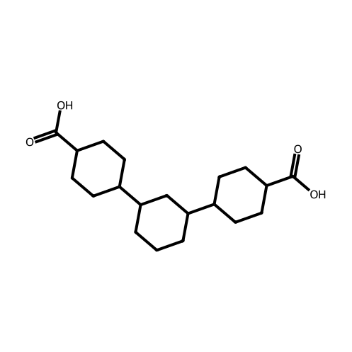 O=C(O)C1CCC(C2CCCC(C3CCC(C(=O)O)CC3)C2)CC1